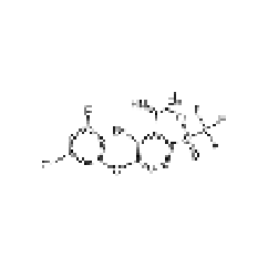 CC(=N)c1c(S(=O)(=O)C(F)(F)F)ccc(Oc2cc(F)cc(Cl)c2)c1Br